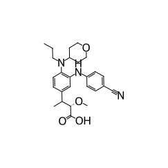 CCCN(c1ccc(C(C)[C@H](OC)C(=O)O)cc1Nc1ccc(C#N)cc1)C1CCOCC1